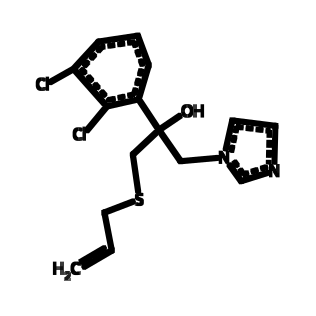 C=CCSCC(O)(Cn1ccnc1)c1cccc(Cl)c1Cl